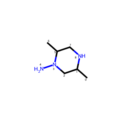 CC1CN(N)C(C)CN1